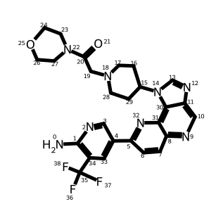 Nc1ncc(-c2ccc3ncc4ncn(C5CCN(CC(=O)N6CCOCC6)CC5)c4c3n2)cc1C(F)(F)F